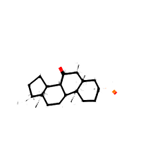 CC[C@@H]1C(=O)C2C3CC[C@H](C(C)C)[C@@]3(C)CCC2[C@@]2(C)CC[C@@H](P=O)C[C@@H]12